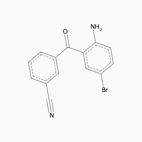 N#Cc1cccc(C(=O)c2cc(Br)ccc2N)c1